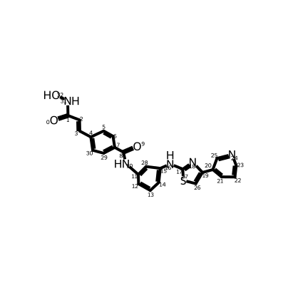 O=C(C=Cc1ccc(C(=O)Nc2cccc(Nc3nc(-c4cccnc4)cs3)c2)cc1)NO